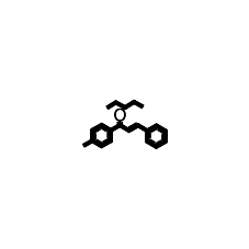 CCCCC.Cc1ccc(C(=O)C=Cc2ccccc2)cc1